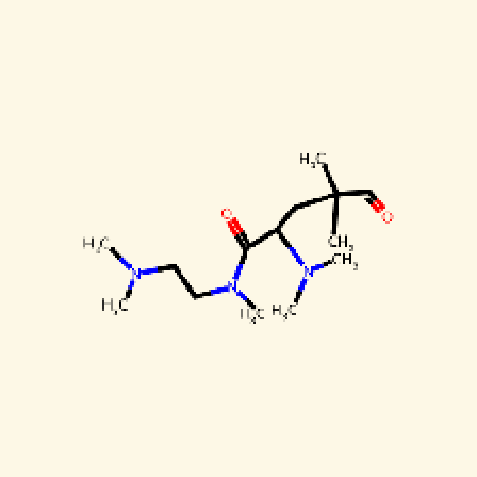 CN(C)CCN(C)C(=O)C(CC(C)(C)C=O)N(C)C